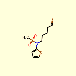 CS(=O)(=O)N(CCCCC=S)c1cccs1